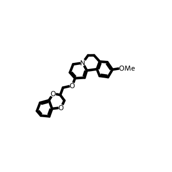 COc1ccc2c(c1)CCN1CC=C(OCC3COc4ccccc4O3)C=C21